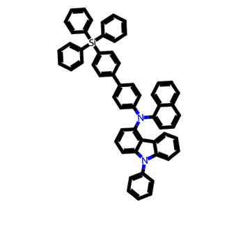 c1ccc(-n2c3ccccc3c3c(N(c4ccc(-c5ccc([Si](c6ccccc6)(c6ccccc6)c6ccccc6)cc5)cc4)c4cccc5ccccc45)cccc32)cc1